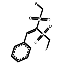 O=S(=O)(CF)C(=Cc1ccccc1)S(=O)(=O)CF